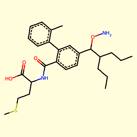 CCCC(CCC)C(ON)c1ccc(C(=O)NC(CCSC)C(=O)O)c(-c2ccccc2C)c1